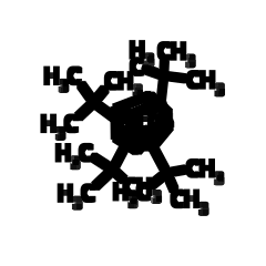 CC(C)(C)[C]12[CH]3[C]4(C(C)(C)C)[C]5(C(C)(C)C)[C]1(C(C)(C)C)[Fe]32451678[CH]2[CH]1[CH]6[CH]7[CH]28